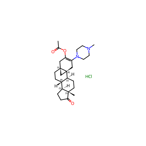 CC(=O)OC1=C(N2CCN(C)CC2)C[C@@]23C[C@@]2(CC[C@@H]2[C@@H]3CC[C@]3(C)C(=O)CC[C@@H]23)C1.Cl